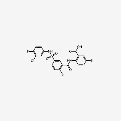 O=C(Nc1ccc(Br)cc1C(=O)O)c1cc(S(=O)(=O)Nc2ccc(F)c(Cl)c2)ccc1Br